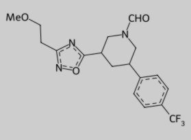 COCCc1noc(C2CC(c3ccc(C(F)(F)F)cc3)CN(C=O)C2)n1